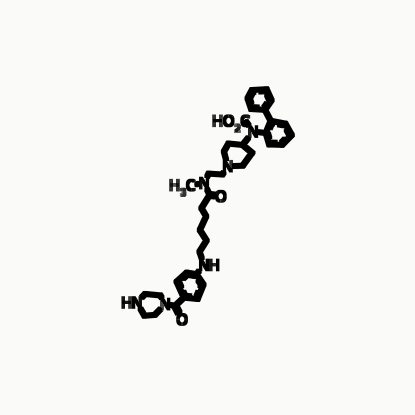 CN(CCN1CCC(N(C(=O)O)c2ccccc2-c2ccccc2)CC1)C(=O)CCCCCNc1ccc(C(=O)N2CCNCC2)cc1